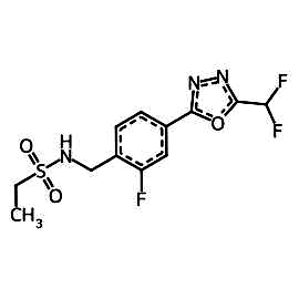 CCS(=O)(=O)NCc1ccc(-c2nnc(C(F)F)o2)cc1F